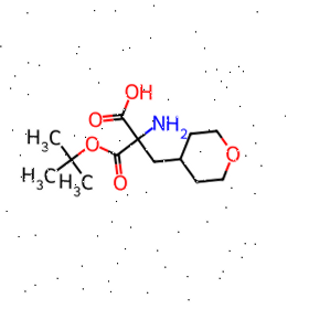 CC(C)(C)OC(=O)C(N)(CC1CCOCC1)C(=O)O